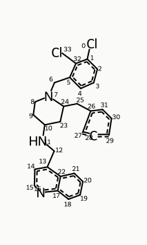 Clc1cccc(CN2CCC(NCc3ccnc4ccccc34)CC2Cc2ccccc2)c1Cl